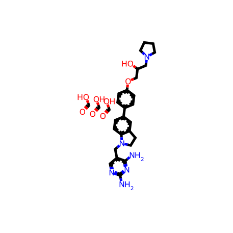 Nc1ncc(CN2CCc3cc(-c4ccc(OCC(O)CN5CCCC5)cc4)ccc32)c(N)n1.O=CO.O=CO.O=CO